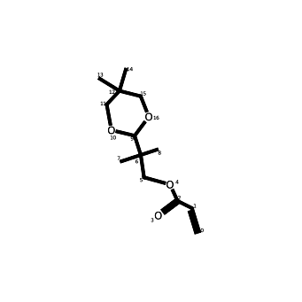 C=CC(=O)OCC(C)(C)C1OCC(C)(C)CO1